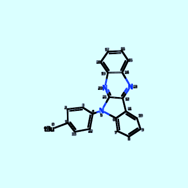 CC(C)(C)c1ccc(-n2c3ccccc3c3nc4ccccc4nc32)cc1